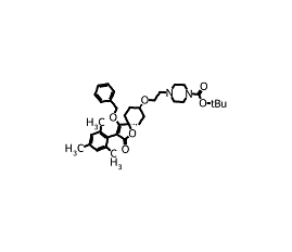 Cc1cc(C)c(C2=C(OCc3ccccc3)[C@]3(CC[C@H](OCCN4CCN(C(=O)OC(C)(C)C)CC4)CC3)OC2=O)c(C)c1